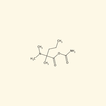 CCCC(C)(C(=O)OC(N)=O)N(C)C